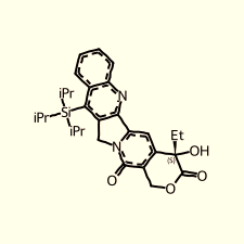 CC[C@@]1(O)C(=O)OCc2c1cc1n(c2=O)Cc2c-1nc1ccccc1c2[Si](C(C)C)(C(C)C)C(C)C